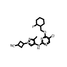 Cc1nn(C2CC(C#N)C2)cc1Nc1ncc(Cl)c(OCC2CCCCC2F)n1